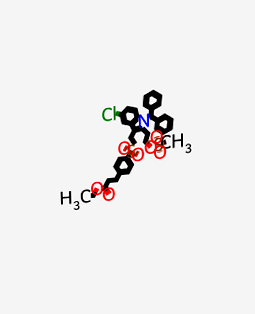 CCOC(=O)CCc1ccc(S(=O)(=O)CCc2c(CCOS(C)(=O)=O)n(C(c3ccccc3)c3ccccc3)c3ccc(Cl)cc23)cc1